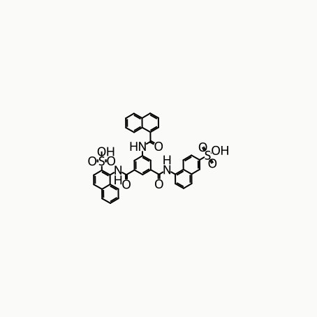 O=C(Nc1cccc2cc(S(=O)(=O)O)ccc12)c1cc(NC(=O)c2cccc3ccccc23)cc(C(=O)Nc2c(S(=O)(=O)O)ccc3ccccc23)c1